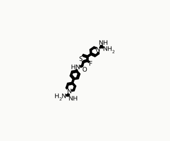 N=C(N)N1CC=C(c2ccc(NC(=O)c3scc(C4=CCN(C(=N)N)CC4)c3F)cc2)CC1